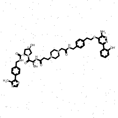 Cc1ncsc1-c1ccc(CNC(=O)[C@@H]2C[C@@H](O)CN2C(=O)[C@@H](NC(=O)CCN2CCN(CC(=O)NCc3ccc(CCOc4cc(-c5ccccc5O)nnc4N)cc3)CC2)C(C)(C)C)cc1